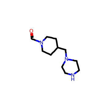 O=CN1CCC(CN2CCNCC2)CC1